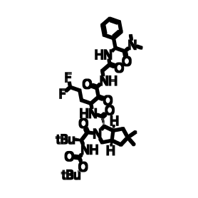 CN(C)C(=O)[C@@H](NC(=O)CNC(=O)C(=O)C(CCC(F)F)NC(=O)[C@@H]1[C@H]2CC(C)(C)C[C@H]2CN1C(=O)[C@@H](NC(=O)OC(C)(C)C)C(C)(C)C)c1ccccc1